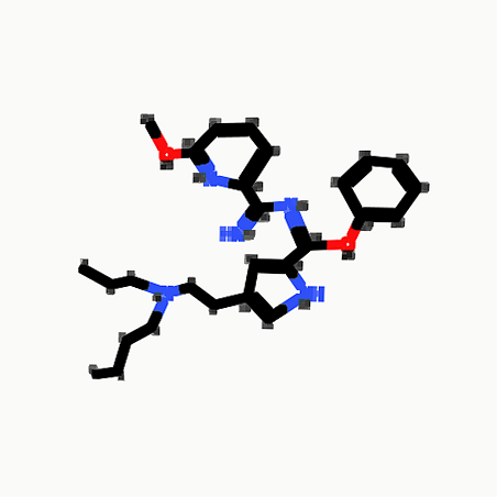 CCCCN(CCC)CCc1c[nH]c(/C(=N\C(=N)c2cccc(OC)n2)Oc2ccccc2)c1